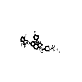 NC(=O)N1CCC(C(=O)N2CC[C@@]3(S(=O)(=O)c4ccc(F)cc4)c4ccc(OCc5c(F)cccc5C(F)(F)F)cc4CC[C@@H]23)CC1